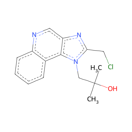 CC(C)(O)Cn1c(CCl)nc2cnc3ccccc3c21